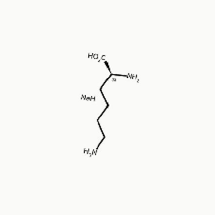 NCCCC[C@H](N)C(=O)O.[NaH]